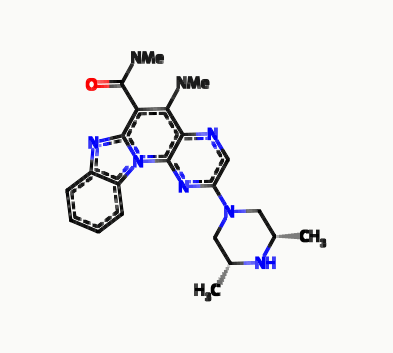 CNC(=O)c1c(NC)c2ncc(N3C[C@@H](C)N[C@@H](C)C3)nc2n2c1nc1ccccc12